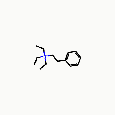 CC[N+](CC)(CC)CCc1ccccc1